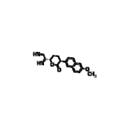 COc1ccc2cc([C@@H]3CC[C@@H](C(=N)C=N)OC3=O)ccc2c1